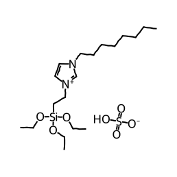 CCCCCCCCn1cc[n+](CC[Si](OCC)(OCC)OCC)c1.O=S(=O)([O-])O